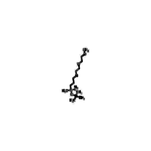 COCCOCCOCCC[Si](C)(C)O[Si](C)(C)C